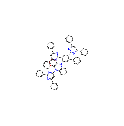 c1ccc(-c2cc(N3c4ccccc4N(c4cc(-c5ccccc5)c(-c5nc(-c6ccccc6)cc(-c6ccccc6)n5)cc4-c4nc(-c5ccccc5)cc(-c5ccccc5)n4)c4ccccc43)nc(-c3ccccc3)n2)cc1